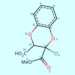 COC(=O)C1(Cl)Oc2ccccc2OC1C(=O)O